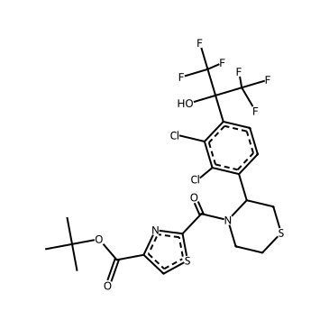 CC(C)(C)OC(=O)c1csc(C(=O)N2CCSCC2c2ccc(C(O)(C(F)(F)F)C(F)(F)F)c(Cl)c2Cl)n1